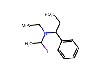 CSCN(C(C)I)C(CC(=O)O)c1ccccc1